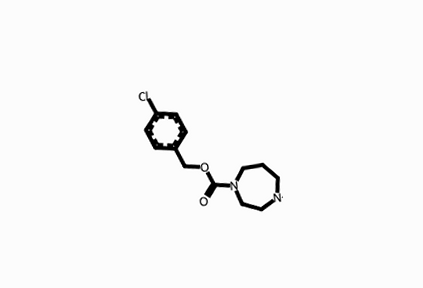 O=C(OCc1ccc(Cl)cc1)N1CCC[N]CC1